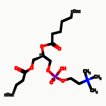 CCCCCCCCCCCCCCC(=O)O[C@H](COC(=O)CCCCCCCCCCCC)COP(=O)(O)OCC[N+](C)(C)C